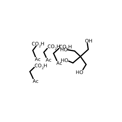 CC(=O)CC(=O)O.CC(=O)CC(=O)O.CC(=O)CC(=O)O.CC(=O)CC(=O)O.OCC(CO)(CO)CO